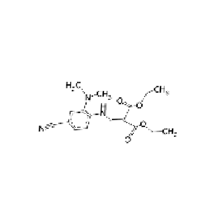 CCOC(=O)C(=CNc1ccc(C#N)cc1N(C)C)C(=O)OCC